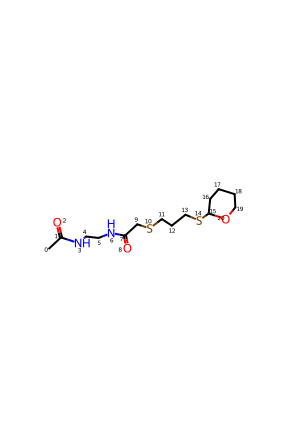 CC(=O)NCCNC(=O)CSCCCSC1CCCCO1